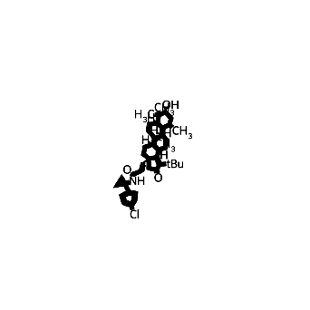 CC1C[C@H](O)C(C)(C)[C@@H]2CC[C@]3(C)[C@H](CC[C@@H]4C5=C(C(C)(C)C)C(=O)C[C@]5(/C=C/C(=O)NC5(c6ccc(Cl)cc6)CC5)CC[C@H]43)[C@@H]12